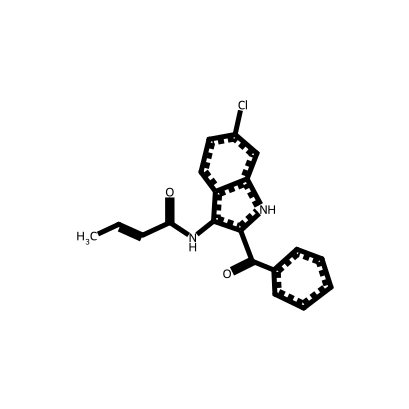 CC=CC(=O)Nc1c(C(=O)c2ccccc2)[nH]c2cc(Cl)ccc12